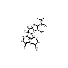 CC(C)C1=C(C(=O)N(C)C)SC2=N[C@@](C)(c3ccc(Cl)cc3)[C@@H](c3ccc(Br)cn3)N21